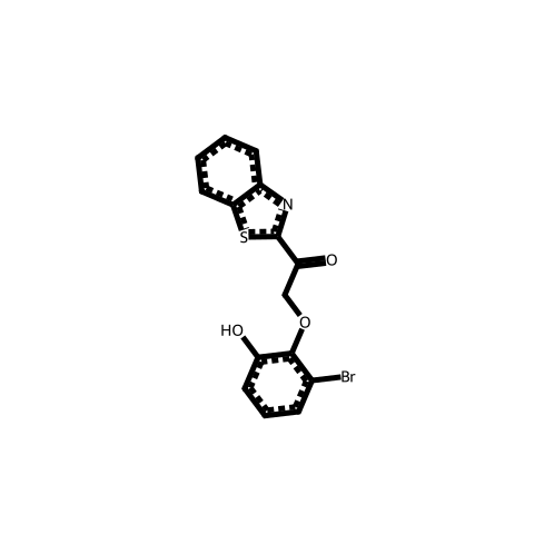 O=C(COc1c(O)cccc1Br)c1nc2ccccc2s1